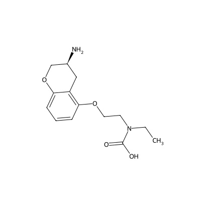 CCN(CCOc1cccc2c1C[C@H](N)CO2)C(=O)O